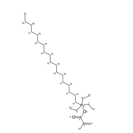 C=C(C)C(=O)OP(CC)(CC)(CC)CCCCCCCCCCCCCCCCCC